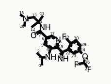 CC(C)Nc1cc(C(=O)NC(C)(C)CN(C)C)cnc1C(=N)c1cc(OC(F)F)ccc1F